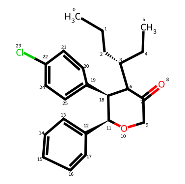 CCC[C@H](CC)C1C(=O)CO[C@@H](c2ccccc2)[C@H]1c1ccc(Cl)cc1